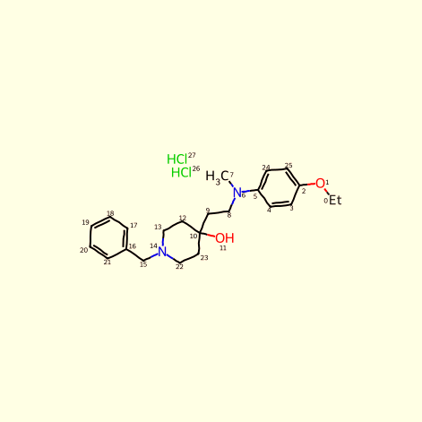 CCOc1ccc(N(C)CCC2(O)CCN(Cc3ccccc3)CC2)cc1.Cl.Cl